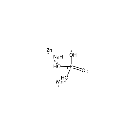 O=P(O)(O)O.[Mn].[NaH].[Zn]